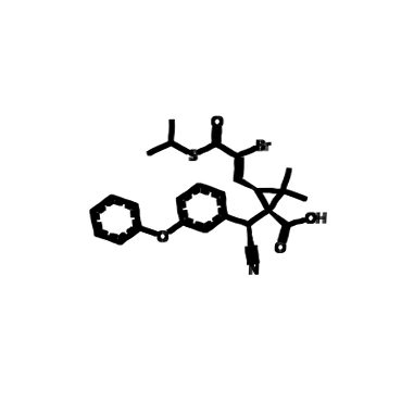 CC(C)SC(=O)C(Br)=C[C@H]1C(C)(C)[C@]1(C(=O)O)[C@@H](C#N)c1cccc(Oc2ccccc2)c1